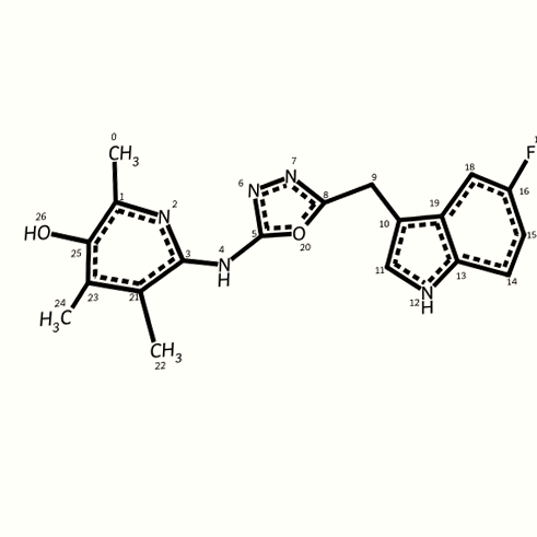 Cc1nc(Nc2nnc(Cc3c[nH]c4ccc(F)cc34)o2)c(C)c(C)c1O